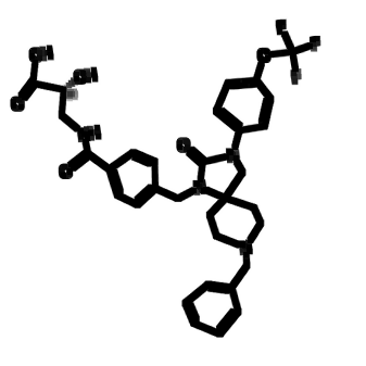 O=C(NC[C@@H](O)C(=O)O)c1ccc(CN2C(=O)N(c3ccc(OC(F)(F)F)cc3)CC23CCN(Cc2ccccc2)CC3)cc1